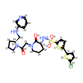 O=C1[C@@H](NS(=O)(=O)c2ccc(-c3ccc(Cl)s3)s2)CCCN1CC(=O)N1CCC[C@H]1CNc1cccnc1